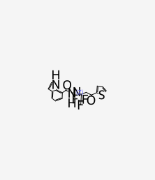 O=C(C/C(=N/NC(=O)c1cccc2cc[nH]c12)C(F)(F)F)c1cccs1